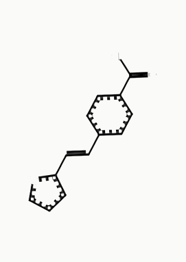 O=C(Cl)c1ccc(C=Cc2ccco2)cc1